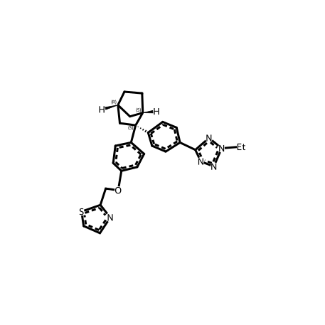 CCn1nnc(-c2ccc([C@]3(c4ccc(OCc5nccs5)cc4)C[C@@H]4CC[C@H]3C4)cc2)n1